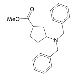 COC(=O)C1CCC(N(Cc2ccccc2)Cc2ccccc2)C1